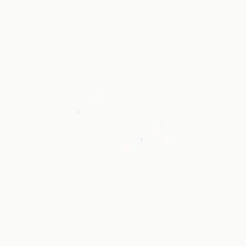 CCC(CC)Oc1ccc(/C=C/C(=O)Nc2ccccc2C(=O)ON)cc1OC